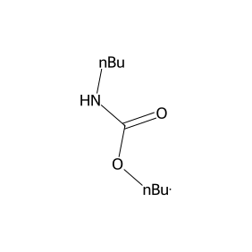 CCC[CH]OC(=O)NCCCC